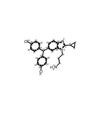 NCCCn1c(C2CC2)nc2ccc(C(c3ccc(Cl)cc3)c3ccc(Cl)cc3)cc21